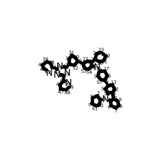 c1ccc(-n2c3ccccc3c3ccc(-c4ccc(-n5c6ccccc6c6cc(-c7cccc(-c8nc(-c9ccccn9)nc(-c9ccccn9)n8)c7)ccc65)cc4)cc32)cc1